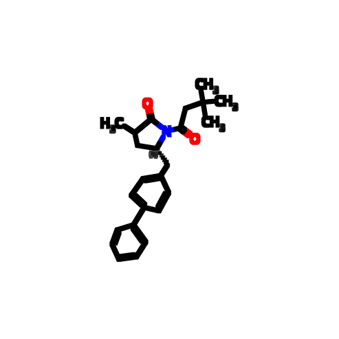 CC1C[C@@H](Cc2ccc(-c3ccccc3)cc2)N(C(=O)CC(C)(C)C)C1=O